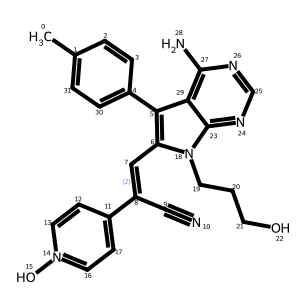 Cc1ccc(-c2c(/C=C(\C#N)c3cc[n+](O)cc3)n(CCCO)c3ncnc(N)c23)cc1